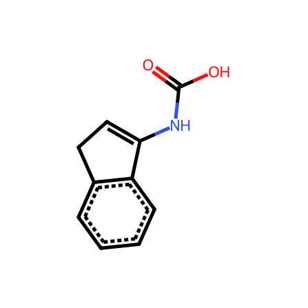 O=C(O)NC1=CCc2ccccc21